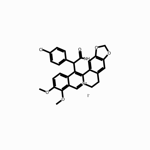 COc1ccc2c(C(C(N)=O)c3ccc(Cl)cc3)c3[n+](cc2c1OC)CCc1cc2c(cc1-3)OCO2.[I-]